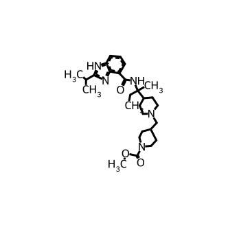 CCC(C)(NC(=O)c1cccc2[nH]c(C(C)C)nc12)C1CCN(CC2CCN(C(=O)OC)CC2)CC1